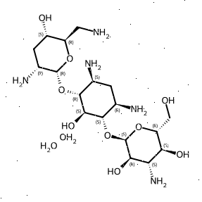 NC[C@H]1O[C@H](O[C@H]2[C@H](O)[C@@H](O[C@H]3O[C@H](CO)[C@@H](O)[C@H](N)[C@H]3O)[C@H](N)C[C@@H]2N)[C@H](N)C[C@@H]1O.O.O